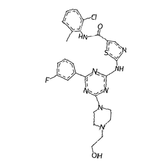 Cc1cccc(Cl)c1NC(=O)c1cnc(Nc2nc(-c3cccc(F)c3)nc(N3CCN(CCO)CC3)n2)s1